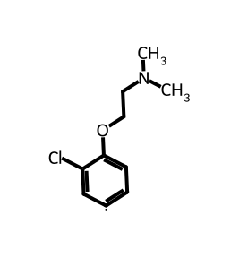 CN(C)CCOc1cc[c]cc1Cl